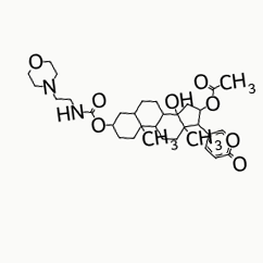 CC(=O)OC1CC2(O)C3CCC4CC(OC(=O)NCCN5CCOCC5)CCC4(C)C3CCC2(C)C1c1ccc(=O)oc1